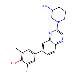 Cc1cc(-c2ccc3ncc(N4CCCC(N)C4)nc3c2)cc(C)c1O